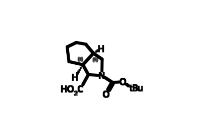 CC(C)(C)OC(=O)N1C[C@@H]2CCCC[C@@H]2C1C(=O)O